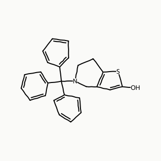 Oc1cc2c(s1)CCN(C(c1ccccc1)(c1ccccc1)c1ccccc1)C2